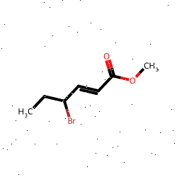 CCC(Br)C=CC(=O)OC